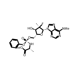 CNc1ncnc2c1ncn2[C@@H]1O[C@H](CO[P@@](=O)(N[C@H](C)C(=O)OC)Oc2ccccc2)[C@@H](O)[C@@]1(C)F